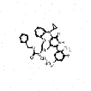 Cc1c(F)cc(C(=O)O)cc1-c1[nH]c(=O)c(N(c2ccccc2OCCN(C)C(=O)OCc2ccccc2)C2CC2)nc1Br